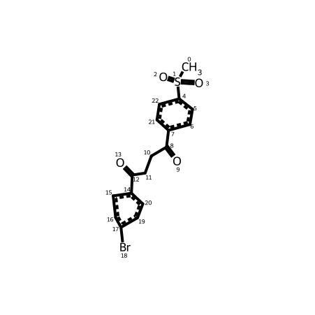 CS(=O)(=O)c1ccc(C(=O)CCC(=O)c2ccc(Br)cc2)cc1